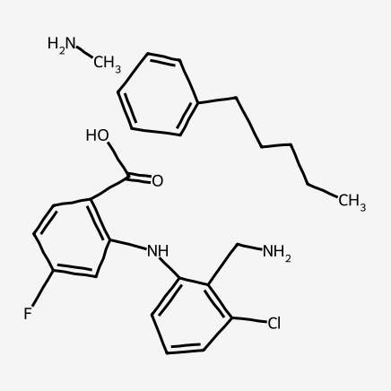 CCCCCc1ccccc1.CN.NCc1c(Cl)cccc1Nc1cc(F)ccc1C(=O)O